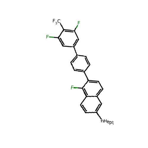 CCCCCCCc1ccc2c(F)c(-c3ccc(-c4cc(F)c(C(F)(F)F)c(F)c4)cc3)ccc2c1